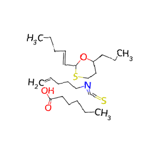 C=CCCCN=C=S.CCCC=CC1OC(CCC)CCS1.CCCCCC(=O)O